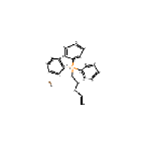 C=CCCC[P+](c1ccccc1)(c1ccccc1)c1ccccc1.[Br-]